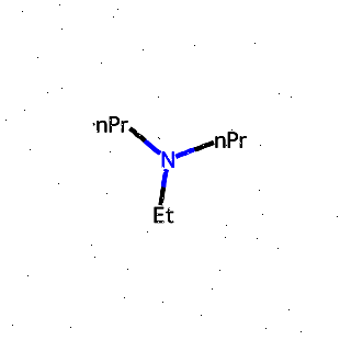 CC[CH]N(CC)CCC